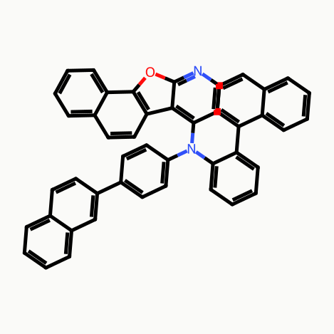 c1ccc(N(c2ccc(-c3ccc4ccccc4c3)cc2)c2ccnc3oc4c5ccccc5ccc4c23)c(-c2cccc3ccccc23)c1